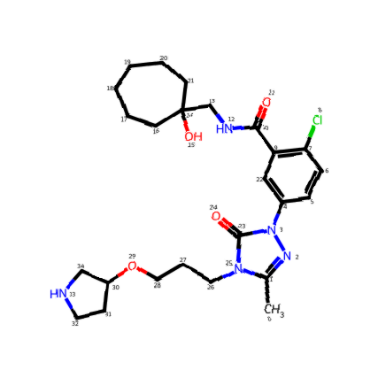 Cc1nn(-c2ccc(Cl)c(C(=O)NCC3(O)CCCCCC3)c2)c(=O)n1CCCOC1CCNC1